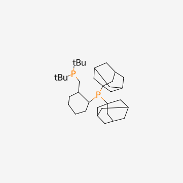 CC(C)(C)P(CC1CCCCC1P(C12CC3CC(CC(C3)C1)C2)C12CC3CC(CC(C3)C1)C2)C(C)(C)C